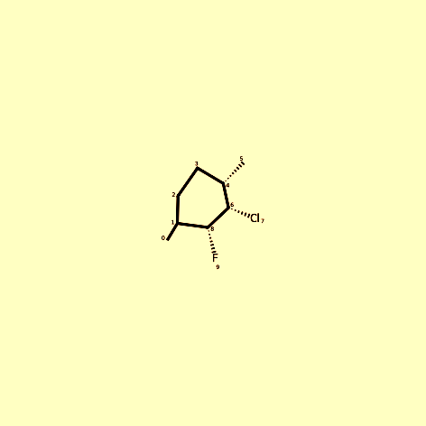 CC1CC[C@H](C)[C@H](Cl)[C@@H]1F